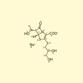 CC(O)[C@H]1C(=O)N2C(C(=O)[O-])=C(SCC(O)CO)S[C@H]12.[Na+]